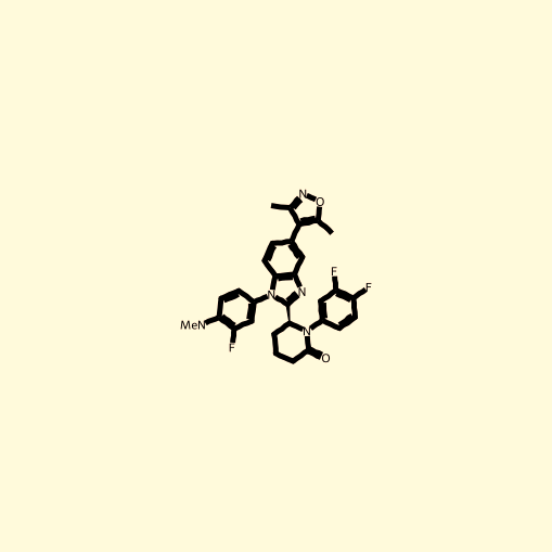 CNc1ccc(-n2c([C@@H]3CCCC(=O)N3c3ccc(F)c(F)c3)nc3cc(-c4c(C)noc4C)ccc32)cc1F